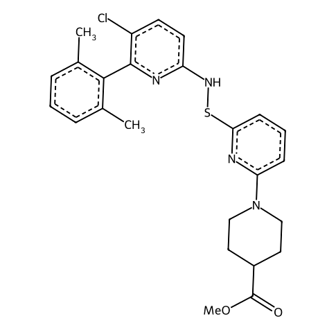 COC(=O)C1CCN(c2cccc(SNc3ccc(Cl)c(-c4c(C)cccc4C)n3)n2)CC1